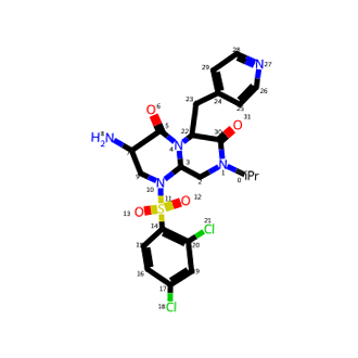 CC(C)N1CC2N(C(=O)C(N)CN2S(=O)(=O)c2ccc(Cl)cc2Cl)C(Cc2ccncc2)C1=O